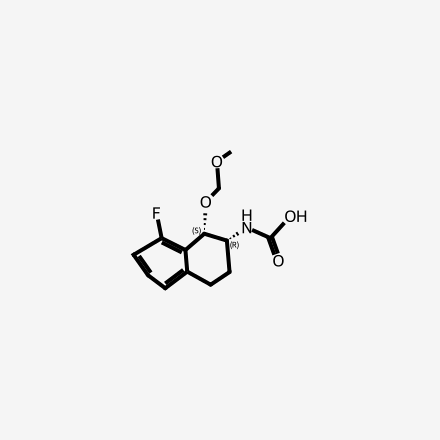 COCO[C@H]1c2c(F)cccc2CC[C@H]1NC(=O)O